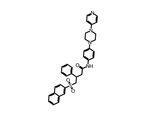 O=C(CC(CS(=O)(=O)c1ccc2ccccc2c1)c1ccccc1)Nc1ccc(N2CCN(c3ccncc3)CC2)cc1